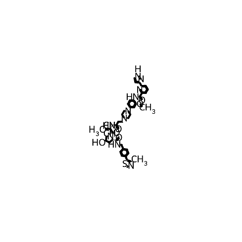 COc1cc(N2CCN(CCC(=O)N[C@H](C(=O)N3C[C@H](O)C[C@H]3C(=O)NCc3ccc(-c4scnc4C)cc3)C(C)(C)C)CC2)ccc1NC(=O)c1cccc(-c2cc[nH]n2)n1